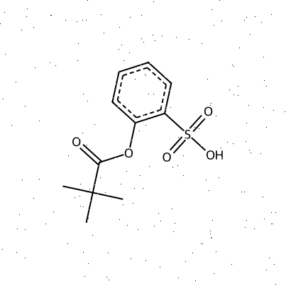 CC(C)(C)C(=O)Oc1ccccc1S(=O)(=O)O